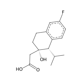 CC(C)[C@H]1c2ccc(F)cc2CC[C@]1(O)CC(=O)O